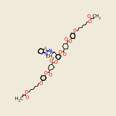 C=CC(=O)OCCCCCCOc1ccc(OC(=O)C2CCC(C(=O)Oc3ccc(OC(=O)C4CCC(C(=O)Oc5ccc(OCCCCCCOC(=O)C=C)cc5)CC4)c(/C=N/N=c4/sc5ccccc5n4C)c3)CC2)cc1